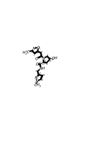 Cc1cc(CC(=O)N2C[C@H](O)C[C@H]2C(=O)NCc2ccn(C)n2)on1